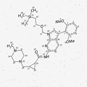 COc1cccc(OC)c1-c1cn(COCC[Si](C)(C)C)c2nc(NC(=O)C3CC3CN3CCN(C)CC3)ccc12